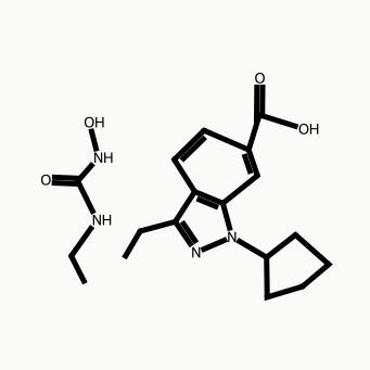 CCNC(=O)NO.CCc1nn(C2CCCC2)c2cc(C(=O)O)ccc12